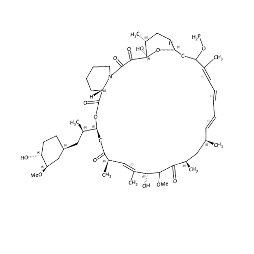 COC1C(=O)[C@H](C)C[C@H](C)/C=C/C=C/C=C(\C)C(OP)C[C@@H]2CC[C@@H](C)[C@@](O)(O2)C(=O)C(=O)N2CCCC[C@H]2C(=O)O[C@H]([C@H](C)C[C@@H]2CC[C@@H](O)[C@H](OC)C2)CC(=O)[C@H](C)/C=C(\C)[C@H]1O